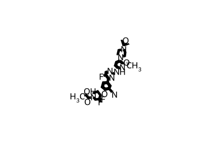 COc1nc(Nc2ncc(F)c(-c3ccc(OC4CCN(C(=O)[C@H](C)O)CC4(F)F)c(C#N)c3)n2)ccc1N1CCN(C2COC2)CC1